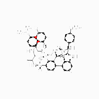 COc1ccc(CN(Cc2ccc(OC)cc2)S(=O)(=O)c2c(S(=O)(=O)NC(C)CNC(=O)O)ccc(-c3cccc4[nH]c(N)nc34)c2-c2nnn(Cc3ccc(OC)cc3)n2)cc1